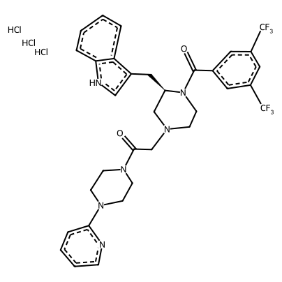 Cl.Cl.Cl.O=C(CN1CCN(C(=O)c2cc(C(F)(F)F)cc(C(F)(F)F)c2)[C@H](Cc2c[nH]c3ccccc23)C1)N1CCN(c2ccccn2)CC1